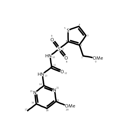 COCc1ccsc1S(=O)(=O)NC(=O)Nc1nc(C)cc(OC)n1